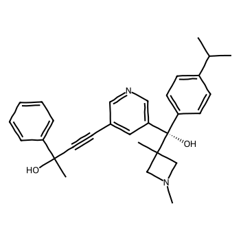 CC(C)c1ccc([C@](O)(c2cncc(C#CC(C)(O)c3ccccc3)c2)C2(C)CN(C)C2)cc1